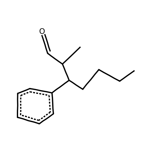 CCCCC(c1ccccc1)C(C)C=O